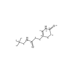 CC(C)(C)CNC(=O)CCC1=NNC(=O)CC1